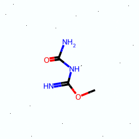 COC(=N)NC(N)=O